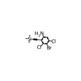 C[Si](C)(C)C#Cc1c(N)cc(Cl)c(Br)c1Cl